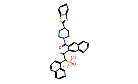 O=C(c1cc2ccccc2cc1C(=O)N1CCC(c2nc3ccccc3s2)CC1)C(c1cccc2ccccc12)P(=O)(O)O